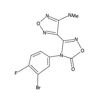 CNc1nonc1-c1noc(=O)n1-c1ccc(F)c(Br)c1